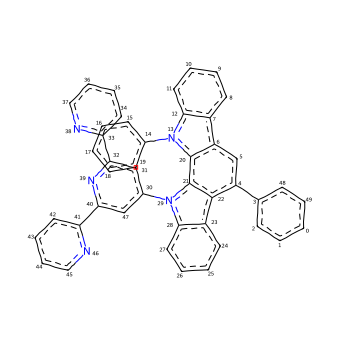 c1ccc(-c2cc3c4ccccc4n(-c4ccccc4)c3c3c2c2ccccc2n3-c2cc(-c3ccccn3)nc(-c3ccccn3)c2)cc1